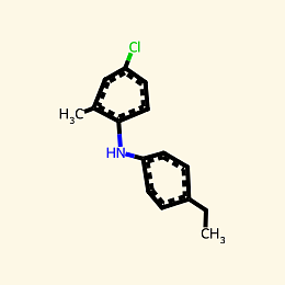 CCc1ccc(Nc2ccc(Cl)cc2C)cc1